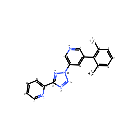 Cc1cccc(C)c1-c1cncc(-n2nnc(-c3ccccn3)n2)c1